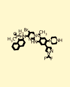 COc1cc(N2CCNCC2)c(-c2cnn(C(F)F)c2)cc1Nc1ncc(Br)c(Nc2ccc3ccccc3c2P(C)(C)=O)n1